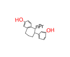 CCCC1c2ccc(O)cc2CCCC1c1cccc(O)c1